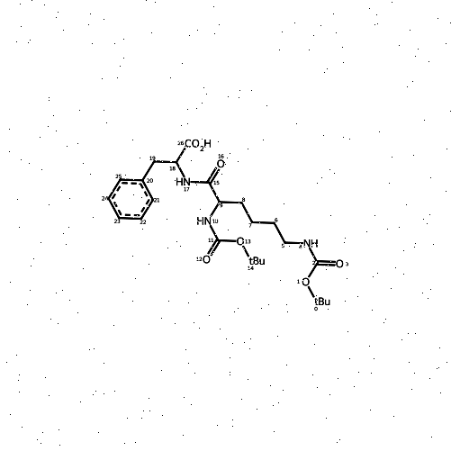 CC(C)(C)OC(=O)NCCCCC(NC(=O)OC(C)(C)C)C(=O)NC(Cc1ccccc1)C(=O)O